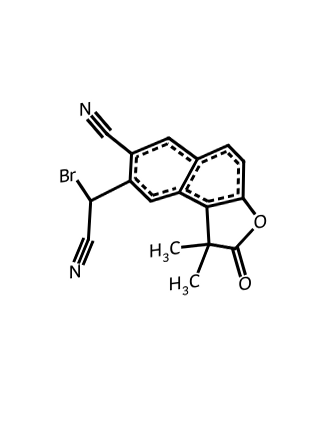 CC1(C)C(=O)Oc2ccc3cc(C#N)c(C(Br)C#N)cc3c21